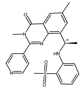 Cc1cc([C@@H](C)Nc2ccccc2S(C)(=O)=O)c2nc(-c3ccncc3)n(C)c(=O)c2c1